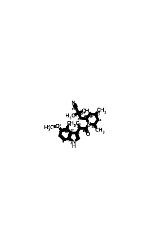 COc1ccc2[nH]cc(C(C)C(=O)N3C(C)CC(C)CC3CC(C)(C)C#N)c2c1F